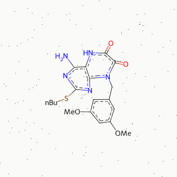 CCCCSc1nc(N)c2[nH]c(=O)c(=O)n(Cc3cc(OC)cc(OC)c3)c2n1